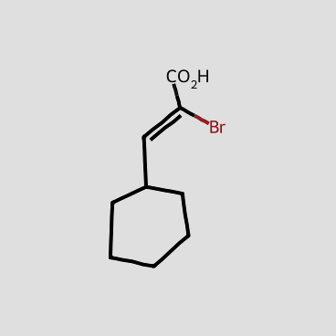 O=C(O)C(Br)=CC1CCCCC1